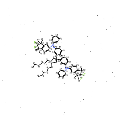 CCCCCCCCC1(CCCCCCCC)c2cc(N(c3ccccc3)c3ccc4c(c3)C(C)(C)C(F)(F)C4(C)C)ccc2-c2ccc(N(c3ccccc3)c3ccc4c(c3)C(C)(C)C(F)(F)C4(C)C)cc21